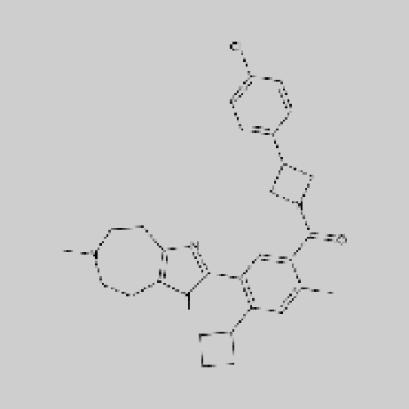 Cc1cc(C2CCC2)c(-c2nc3c([nH]2)CCN(C)CC3)cc1C(=O)N1CC(c2ccc(Cl)cc2)C1